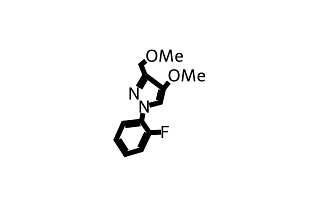 COCc1nn(-c2ccccc2F)cc1OC